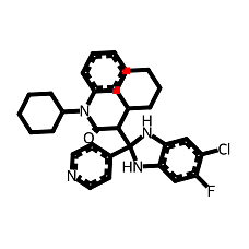 O=C(C(C1CCCCC1)C1(c2ccncc2)Nc2cc(F)c(Cl)cc2N1)N(c1ccccc1)C1CCCCC1